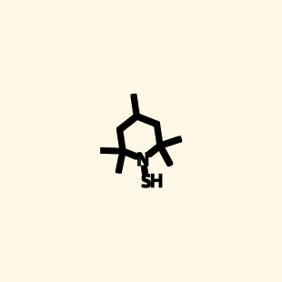 CC1CC(C)(C)N(S)C(C)(C)C1